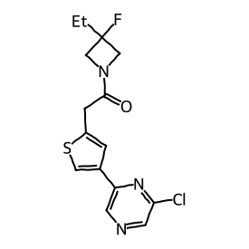 CCC1(F)CN(C(=O)Cc2cc(-c3cncc(Cl)n3)cs2)C1